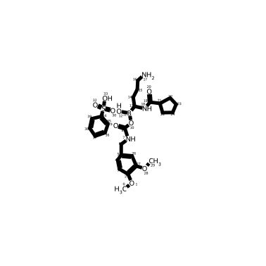 COc1ccc(CNC(=O)OB(O)C(CCCN)NC(=O)C2CCCC2)cc1OC.O=S(=O)(O)c1ccccc1